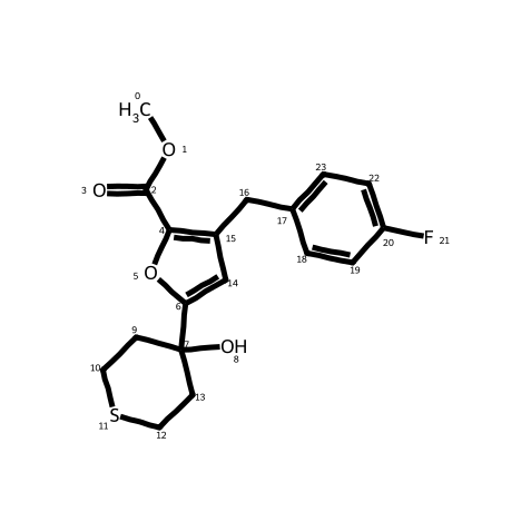 COC(=O)c1oc(C2(O)CCSCC2)cc1Cc1ccc(F)cc1